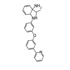 CC(C)C1(N)C=CC=CC1Nc1cccc(Oc2cccc(-c3ccccn3)c2)c1